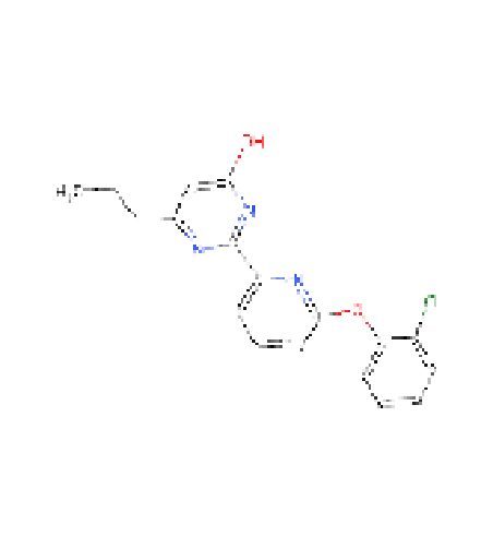 CCCc1cc(O)nc(-c2cccc(Oc3ccccc3Cl)n2)n1